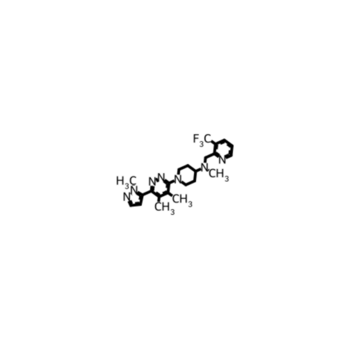 Cc1c(-c2ccnn2C)nnc(N2CCC(N(C)Cc3ncccc3C(F)(F)F)CC2)c1C